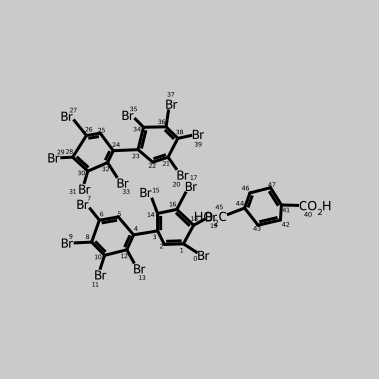 Brc1cc(-c2cc(Br)c(Br)c(Br)c2Br)c(Br)c(Br)c1Br.Brc1cc(-c2cc(Br)c(Br)c(Br)c2Br)c(Br)c(Br)c1Br.O=C(O)c1ccc(C(=O)O)cc1